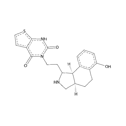 O=c1[nH]c2sccc2c(=O)n1CCC1NC[C@@H]2CCc3c(O)cccc3[C@H]12